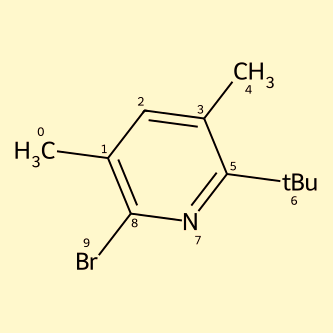 Cc1cc(C)c(C(C)(C)C)nc1Br